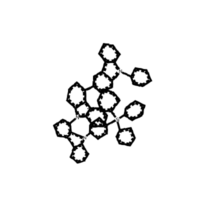 c1ccc(-n2c3ccccc3c3cc(-c4cccc5c4c4ccccc4n5-c4cccc5c6ccccc6n(-c6ccc([Si](c7ccccc7)(c7ccccc7)c7ccccc7)cc6)c45)ccc32)cc1